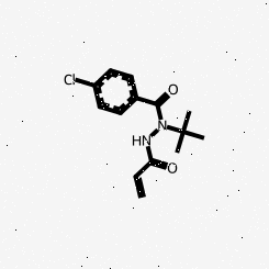 C=CC(=O)NN(C(=O)c1ccc(Cl)cc1)C(C)(C)C